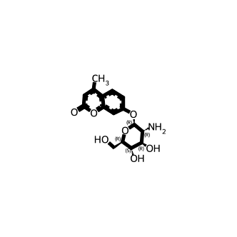 Cc1cc(=O)oc2cc(O[C@H]3O[C@H](CO)[C@@H](O)[C@H](O)[C@H]3N)ccc12